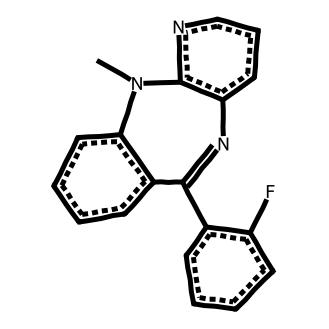 CN1c2ccccc2C(c2ccccc2F)=Nc2cccnc21